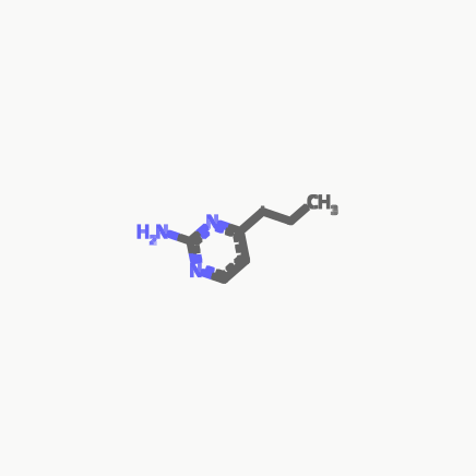 CC[CH]c1ccnc(N)n1